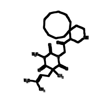 CC(C)=CCC1(C)C(=O)N(C)C(=O)N(CC(=O)C2CNCCC23CCCCCCCCC3)C1=O